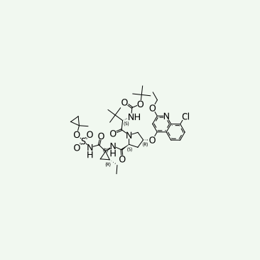 CCOc1cc(O[C@@H]2C[C@@H](C(=O)N[C@]3(C(=O)NS(=O)(=O)OC4(C)CC4)C[C@H]3CC)N(C(=O)[C@@H](NC(=O)OC(C)(C)C)C(C)(C)C)C2)c2cccc(Cl)c2n1